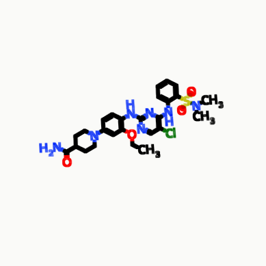 CCOc1cc(N2CCC(C(N)=O)CC2)ccc1Nc1ncc(Cl)c(Nc2ccccc2S(=O)(=O)N(C)C)n1